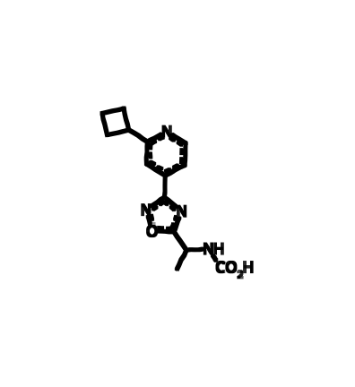 CC(NC(=O)O)c1nc(-c2ccnc(C3CCC3)c2)no1